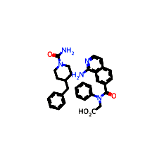 NC(=O)N1CCC(Cc2ccccc2)CC1.Nc1nccc2ccc(C(=O)N(CC(=O)O)c3ccccc3)cc12